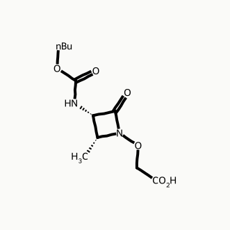 CCCCOC(=O)N[C@@H]1C(=O)N(OCC(=O)O)[C@@H]1C